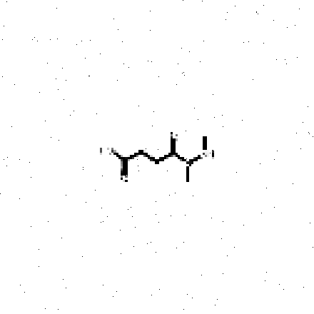 CNN(C)C(=O)CCC(=O)O